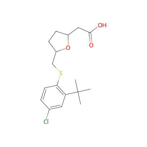 CC(C)(C)c1cc(Cl)ccc1SCC1CCC(CC(=O)O)O1